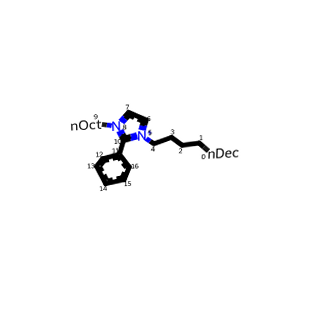 CCCCCCCCCCCCCC[n+]1ccn(CCCCCCCC)c1-c1ccccc1